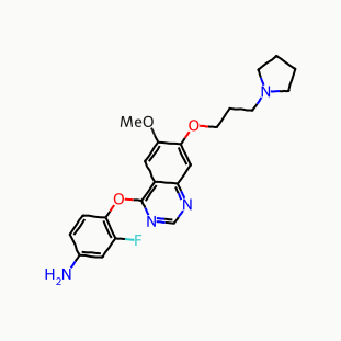 COc1cc2c(Oc3ccc(N)cc3F)ncnc2cc1OCCCN1CCCC1